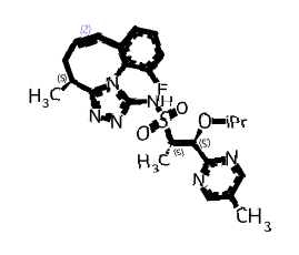 Cc1cnc([C@H](OC(C)C)[C@H](C)S(=O)(=O)Nc2nnc3n2-c2c(F)cccc2/C=C\C[C@@H]3C)nc1